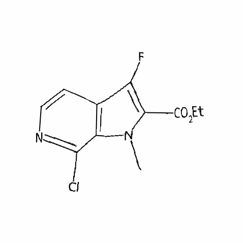 CCOC(=O)c1c(F)c2ccnc(Cl)c2n1C